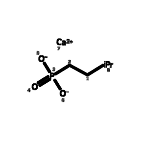 CC(C)CCP(=O)([O-])[O-].[Ca+2]